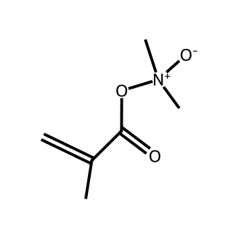 C=C(C)C(=O)O[N+](C)(C)[O-]